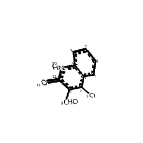 O=Cc1c(Cl)c2ccccc2[nH]c1=O